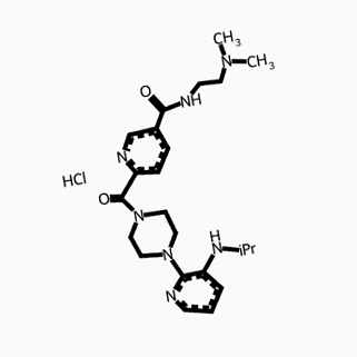 CC(C)Nc1cccnc1N1CCN(C(=O)c2ccc(C(=O)NCCN(C)C)cn2)CC1.Cl